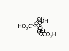 CC[C@@]12CC[C@]3(C)C(=CC(SCCC(=O)O)c4c3cc(O)c(O)c4C)[C@@]1(C)CC[C@@]1(C)CC[C@@](C)(C(=O)O)C[C@H]12